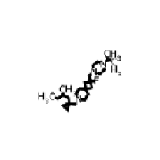 CCC(C)CC1(CN2CCC3(CC2)CC(F)(CN2CCN(C(C)C)CC2)C3)CC1